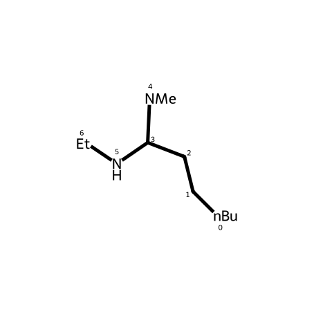 CCCCCCC(NC)NCC